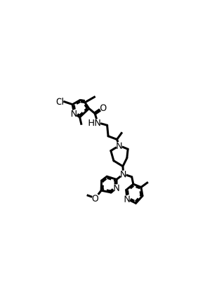 COc1ccc(N(Cc2cnccc2C)C2CCN(C(C)CCNC(=O)c3c(C)cc(Cl)nc3C)CC2)nc1